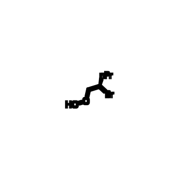 CCC[C@@H](Br)COO